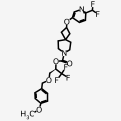 COc1ccc(COC[C@@H](OC(=O)N2CCC3(CC2)CC(Oc2ccc(C(F)F)nc2)C3)C(F)(F)F)cc1